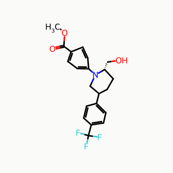 COC(=O)c1ccc(N2CC(c3ccc(C(F)(F)F)cc3)CC[C@H]2CO)cc1